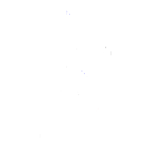 CCC=CC(=O)N(CC)CCCN